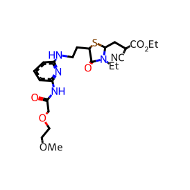 CCOC(=O)C(C#N)CC1SC(CCNc2cccc(NC(=O)COCCOC)n2)C(=O)N1CC